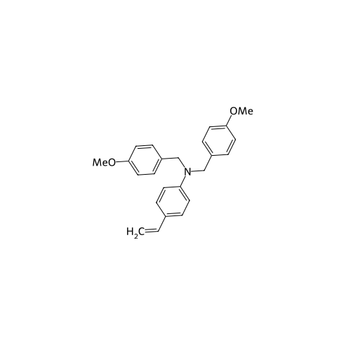 C=Cc1ccc(N(Cc2ccc(OC)cc2)Cc2ccc(OC)cc2)cc1